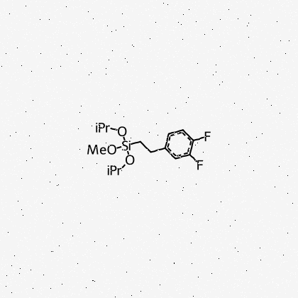 CO[Si](CCc1ccc(F)c(F)c1)(OC(C)C)OC(C)C